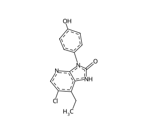 CCc1c(Cl)cnc2c1[nH]c(=O)n2-c1ccc(O)cc1